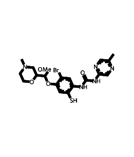 COC(Oc1cc(S)c(NC(=O)Nc2cnc(C)cn2)cc1Br)C1CN(C)CCO1